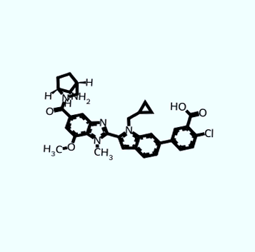 COc1cc(C(=O)N2C[C@H]3CC[C@@H]2[C@@H]3N)cc2nc(-c3cc4ccc(-c5ccc(Cl)c(C(=O)O)c5)cc4n3CC3CC3)n(C)c12